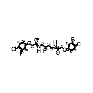 O=C(COc1ccc(Cl)c(F)c1)NCCC(F)CNC(=O)COc1ccc(Cl)c(F)c1